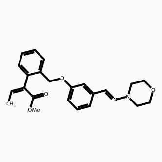 CC=C(C(=O)OC)c1ccccc1COc1cccc(C=NN2CCOCC2)c1